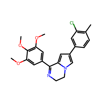 COc1cc(C2=NCCn3cc(-c4ccc(C)c(Cl)c4)cc32)cc(OC)c1OC